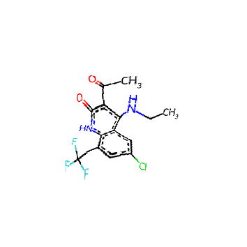 CCNc1c(C(C)=O)c(=O)[nH]c2c(C(F)(F)F)cc(Cl)cc12